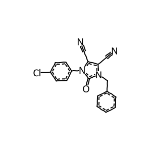 N#Cc1c(C#N)n(-c2ccc(Cl)cc2)c(=O)n1Cc1ccccc1